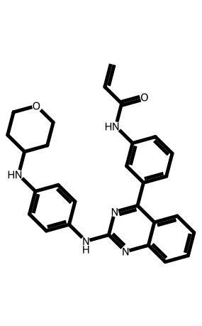 C=CC(=O)Nc1cccc(-c2nc(Nc3ccc(NC4CCOCC4)cc3)nc3ccccc23)c1